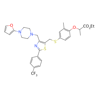 CCOC(=O)C(C)Oc1ccc(SCc2sc(-c3ccc(C(F)(F)F)cc3)nc2CN2CCN(c3ccco3)CC2)cc1C